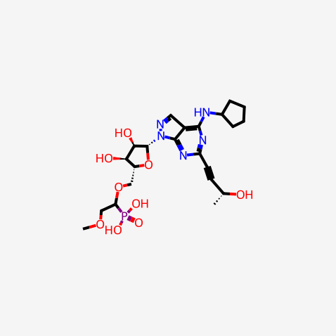 COCC(OC[C@H]1O[C@@H](n2ncc3c(NC4CCCC4)nc(C#C[C@@H](C)O)nc32)[C@H](O)[C@@H]1O)P(=O)(O)O